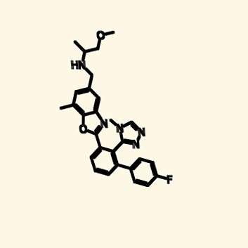 COCC(C)NCc1cc(C)c2oc(-c3cccc(-c4ccc(F)cc4)c3-c3nncn3C)nc2c1